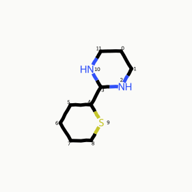 C1CNC(C2CCCCS2)NC1